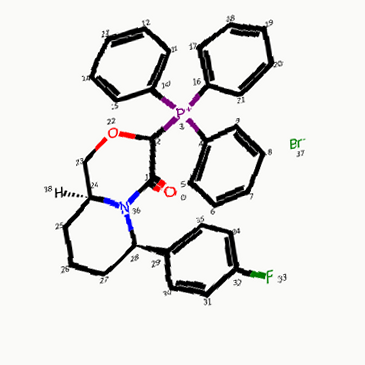 O=C1C([P+](c2ccccc2)(c2ccccc2)c2ccccc2)OC[C@@H]2CCC[C@H](c3ccc(F)cc3)N12.[Br-]